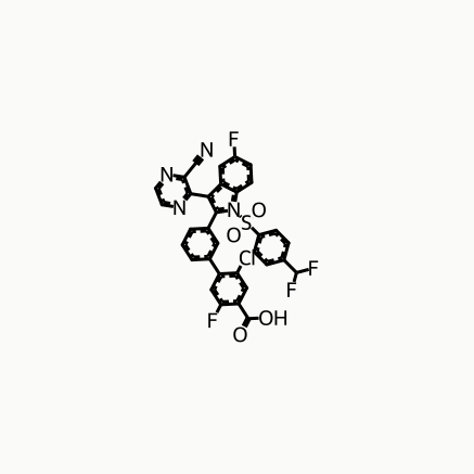 N#Cc1nccnc1-c1c(-c2cccc(-c3cc(F)c(C(=O)O)cc3Cl)c2)n(S(=O)(=O)c2ccc(C(F)F)cc2)c2ccc(F)cc12